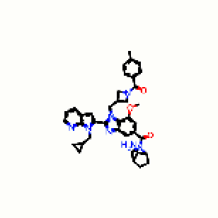 COc1cc(C(=O)N2CC3CCC2C3N)cc2nc(-c3cc4cccnc4n3CC3CC3)n(CC3CN(C(=O)c4ccc(C)cc4)C3)c12